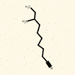 CCC(N)CCCCCCC#N